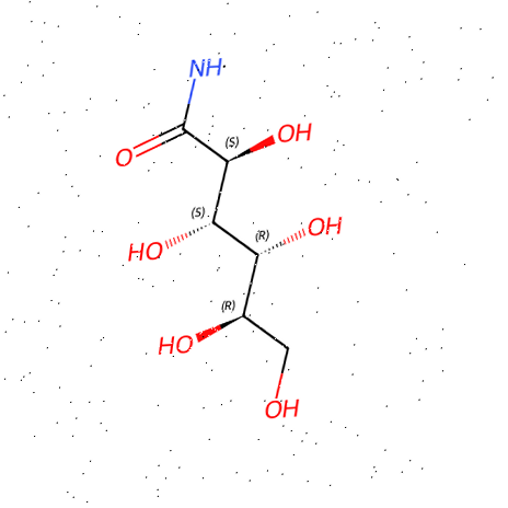 [NH]C(=O)[C@@H](O)[C@@H](O)[C@H](O)[C@H](O)CO